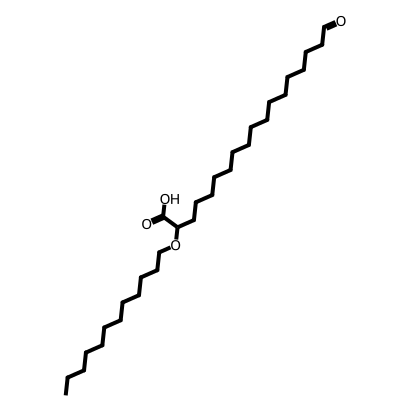 CCCCCCCCCCCCOC(CCCCCCCCCCCCCCCC=O)C(=O)O